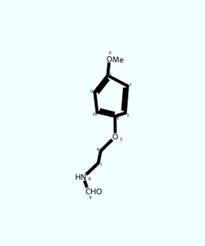 COc1ccc(OCCNC=O)cc1